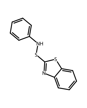 c1ccc(NSc2nc3ccccc3s2)cc1